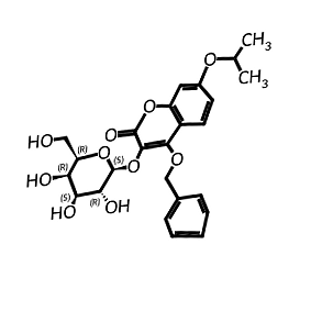 CC(C)Oc1ccc2c(OCc3ccccc3)c(O[C@@H]3O[C@H](CO)[C@H](O)[C@H](O)[C@H]3O)c(=O)oc2c1